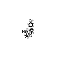 CC(C)(C)OC(=O)N1CC[C@@H](C2CCC(O)CC2)[C@H]1CO